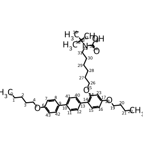 CCCCCOc1ccc(-c2ccc(-c3ccc(OCCCC)cc3OCCCCCCN(C(=O)O)C(C)(C)C)cc2)cc1